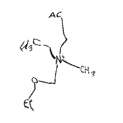 CCOC[N+](C)(C)CC(C)=O